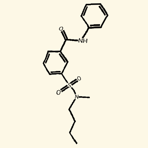 CCCCN(C)S(=O)(=O)c1cccc(C(=O)Nc2ccccc2)c1